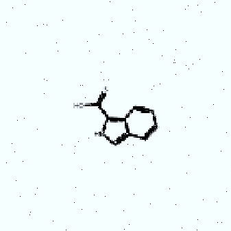 OC(=S)c1[nH]cc2ccccc12